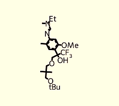 CCN(C)C=Nc1cc(OC)c(C(O)(COCC(C)(C)COC(C)(C)C)C(F)(F)F)cc1C